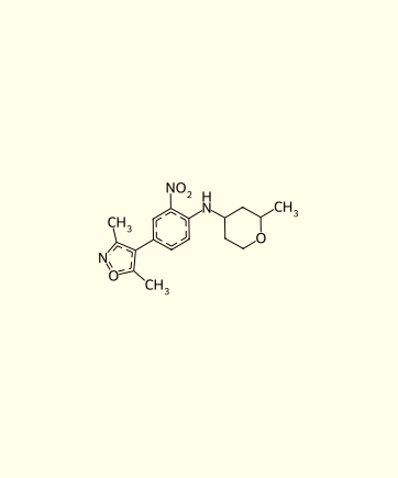 Cc1noc(C)c1-c1ccc(NC2CCOC(C)C2)c([N+](=O)[O-])c1